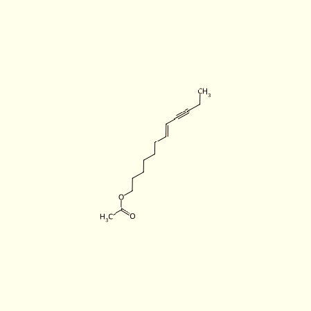 CCC#CC=CCCCCCCOC(C)=O